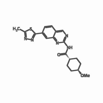 CO[C@H]1CC[C@H](C(=O)Nc2ncc3ccc(-c4nnc(C)s4)cc3n2)CC1